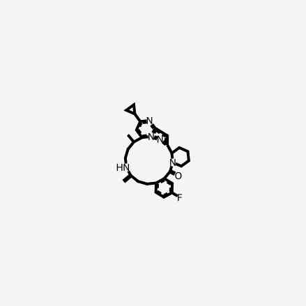 C=C1CCc2ccc(F)cc2C(=O)N2CCCCC2c2cc3nc(C4CC4)cc(n3n2)C(C)CCN1